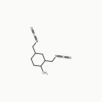 CC1CCC(CN=C=O)CC1CN=C=O